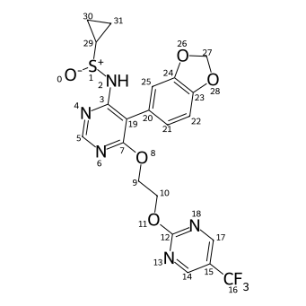 [O-][S+](Nc1ncnc(OCCOc2ncc(C(F)(F)F)cn2)c1-c1ccc2c(c1)OCO2)C1CC1